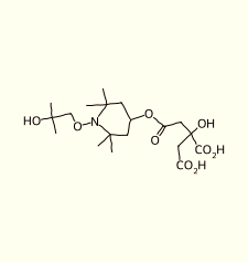 CC(C)(O)CON1C(C)(C)CC(OC(=O)CC(O)(CC(=O)O)C(=O)O)CC1(C)C